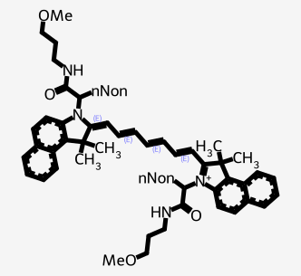 CCCCCCCCCC(C(=O)NCCCOC)N1/C(=C/C=C/C=C/C=C/C2=[N+](C(CCCCCCCCC)C(=O)NCCCOC)c3ccc4ccccc4c3C2(C)C)C(C)(C)c2c1ccc1ccccc21